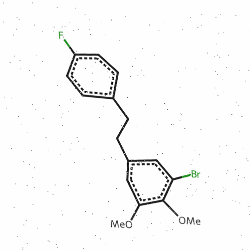 COc1cc(CCc2ccc(F)cc2)cc(Br)c1OC